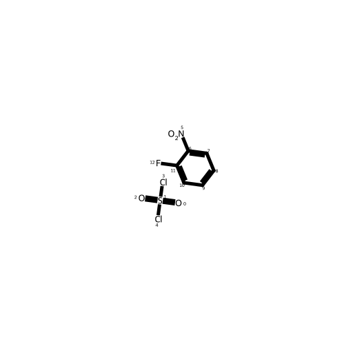 O=S(=O)(Cl)Cl.O=[N+]([O-])c1ccccc1F